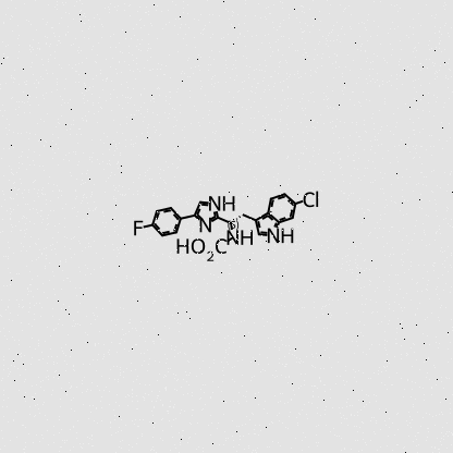 O=C(O)N[C@@H](Cc1c[nH]c2cc(Cl)ccc12)c1nc(-c2ccc(F)cc2)c[nH]1